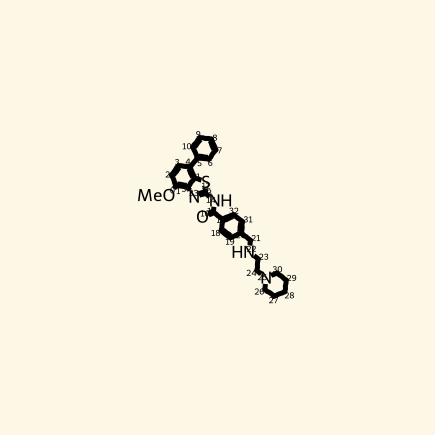 COc1ccc(-c2ccccc2)c2sc(NC(=O)c3ccc(CNCCN4CCCCC4)cc3)nc12